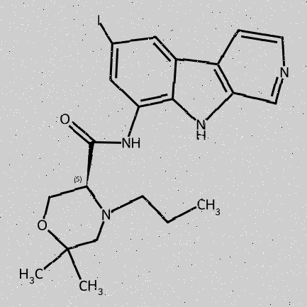 CCCN1CC(C)(C)OC[C@H]1C(=O)Nc1cc(I)cc2c1[nH]c1cnccc12